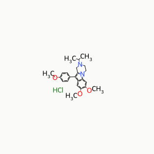 COc1ccc(-c2c3n(c4cc(OC)c(OC)cc24)CCN(C(C)C)C3)cc1.Cl